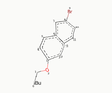 CCC(C)COc1ccc2cc(Br)ccc2c1